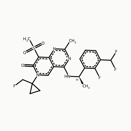 Cc1nc(N[C@H](C)c2cccc(C(F)F)c2F)c2cn(C3(CF)CC3)c(=O)c(S(C)(=O)=O)c2n1